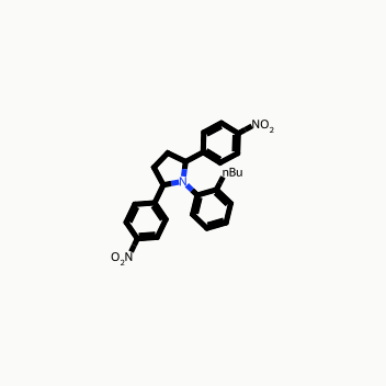 CCCCc1ccccc1N1C(c2ccc([N+](=O)[O-])cc2)CCC1c1ccc([N+](=O)[O-])cc1